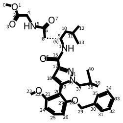 COC(=O)CNC(=O)C[C@H](CC(C)C)NC(=O)c1cc(-c2c(OC)cccc2OCc2ccccc2)n(CC(C)C)n1